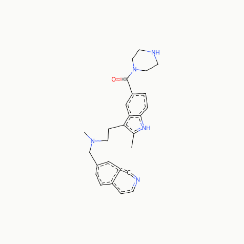 Cc1[nH]c2ccc(C(=O)N3CCNCC3)cc2c1CCN(C)Cc1ccc2ccncc2c1